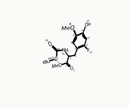 COC(=O)C(Cc1cc(OC)c(O)cc1F)NC(=O)OC(C)(C)C